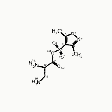 Cc1noc(C)c1S(=O)(=O)OC(=O)C(N)CN